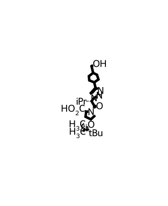 CC(C)[C@@H](C(=O)N1C[C@H](O[Si](C)(C)C(C)(C)C)C[C@H]1C(=O)O)n1cc(C2CCC(CO)CC2)nn1